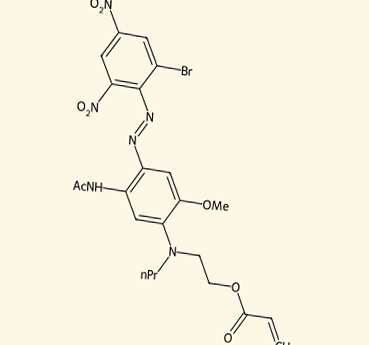 C=CC(=O)OCCN(CCC)c1cc(NC(C)=O)c(/N=N/c2c(Br)cc([N+](=O)[O-])cc2[N+](=O)[O-])cc1OC